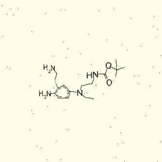 CCN(CCNC(=O)OC(C)(C)C)c1ccc(N)c(CCN)c1